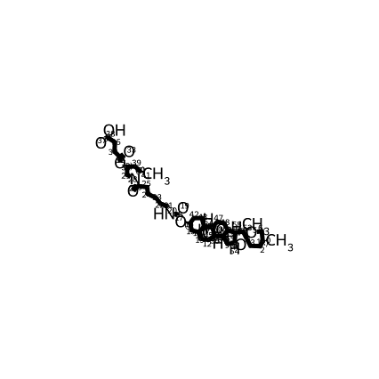 C[C@@H]1CCC2(OC1)O[C@H]1C[C@H]3[C@@H]4CC=C5C[C@@H](OC(=O)NCCCCCC(=O)N6C[C@H](OC(=O)CCC(=O)O)C[C@H]6C)CC[C@]5(C)[C@H]4CC[C@]3(C)[C@H]1[C@@H]2C